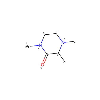 CC1C(=O)N(C(C)C)CCN1C